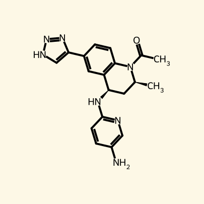 CC(=O)N1c2ccc(-c3c[nH]nn3)cc2[C@H](Nc2ccc(N)cn2)C[C@@H]1C